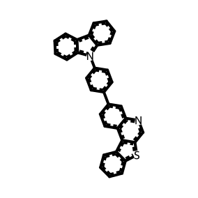 c1ccc2c(c1)sc1cnc3cc(-c4ccc(-n5c6ccccc6c6ccccc65)cc4)ccc3c12